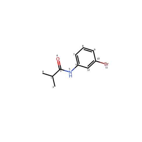 CC(C)C(=O)Nc1cccc(Br)c1